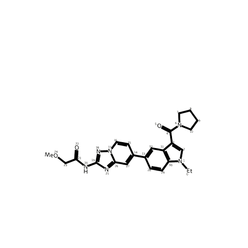 CCn1cc(C(=O)N2CCCC2)c2cc(-c3ccn4nc(NC(=O)COC)nc4c3)ccc21